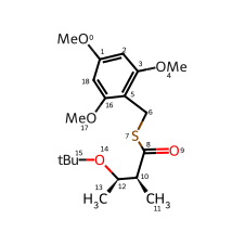 COc1cc(OC)c(CSC(=O)[C@@H](C)[C@@H](C)OC(C)(C)C)c(OC)c1